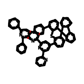 c1ccc(-c2cc(-c3ccc(-c4cccc5c4Sc4c(-c6cc(-c7ccccn7)nc(-c7ccccn7)c6)cccc4C54c5ccccc5-c5ccccc54)cc3)nc(-c3ccccc3)n2)cc1